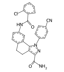 N#Cc1ccc(-n2nc(C(N)=O)c3c2-c2cc(NC(=O)c4ccccc4Cl)ccc2CC3)cc1